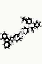 O=C(N[C@H]1CO[P@@](=O)(CCCCCC2(C(=O)NCC(F)(F)F)c3ccccc3-c3ccccc32)OC1)c1ccccc1-c1ccc(C(F)(F)F)cc1